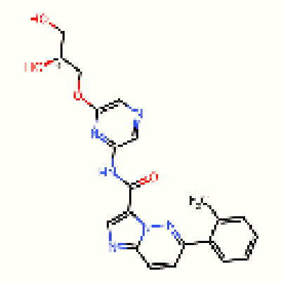 O=C(Nc1cncc(OC[C@@H](O)CO)n1)c1cnc2ccc(-c3ccccc3C(F)(F)F)nn12